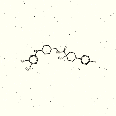 Cc1cc(NC2CCC(CNC(=O)C3(C)CCN(c4ccc(Cl)cc4)CC3)CC2)ccc1[N+](=O)[O-]